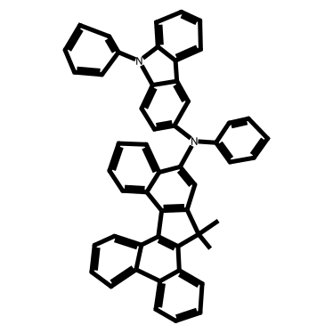 CC1(C)c2cc(N(c3ccccc3)c3ccc4c(c3)c3ccccc3n4-c3ccccc3)c3ccccc3c2-c2c1c1ccccc1c1ccccc21